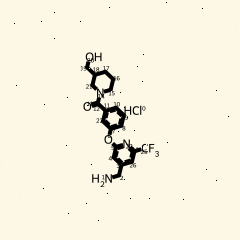 Cl.NCc1cc(Oc2cccc(C(=O)N3CCCC(CO)C3)c2)nc(C(F)(F)F)c1